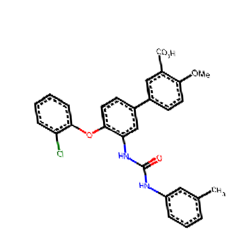 COc1ccc(-c2ccc(Oc3ccccc3Cl)c(NC(=O)Nc3cccc(C)c3)c2)cc1C(=O)O